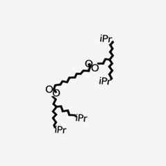 CC(C)CCCCCC(CCCCCC(C)C)CCCOC(=O)CCCCCCCCCCC(=O)OCCCC(CCCCCC(C)C)CCCCCC(C)C